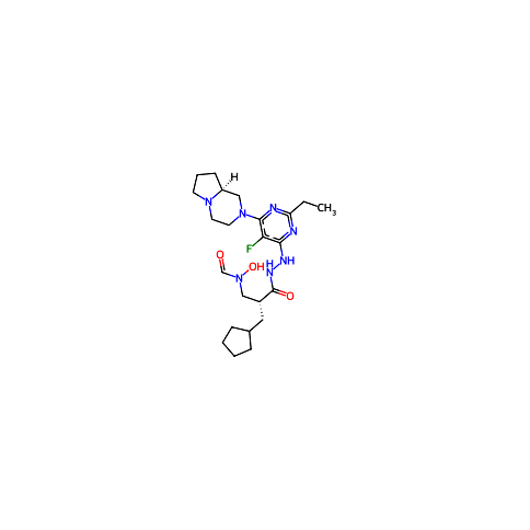 CCc1nc(NNC(=O)[C@H](CC2CCCC2)CN(O)C=O)c(F)c(N2CCN3CCC[C@H]3C2)n1